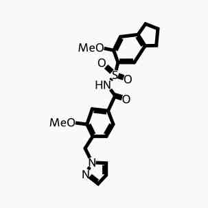 COc1cc(C(=O)NS(=O)(=O)c2cc3c(cc2OC)CCC3)ccc1Cn1cccn1